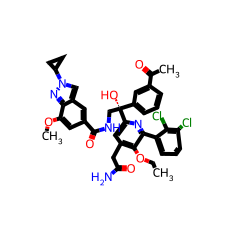 CCOc1c(CC(N)=O)cc([C@@](O)(CNC(=O)c2cc(OC)c3nn(C4CC4)cc3c2)c2cccc(C(C)=O)c2)nc1-c1cccc(Cl)c1Cl